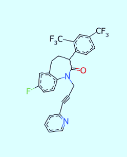 O=C1C(c2ccc(C(F)(F)F)cc2C(F)(F)F)CCc2cc(F)ccc2N1CC#Cc1ccccn1